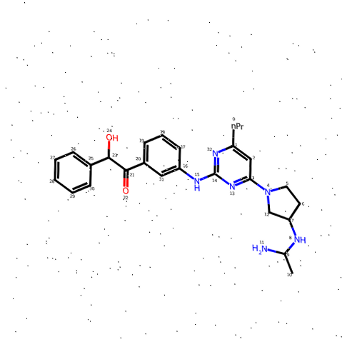 CCCc1cc(N2CCC(NC(C)N)C2)nc(Nc2cccc(C(=O)C(O)c3ccccc3)c2)n1